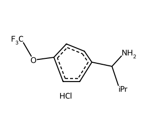 CC(C)C(N)c1ccc(OC(F)(F)F)cc1.Cl